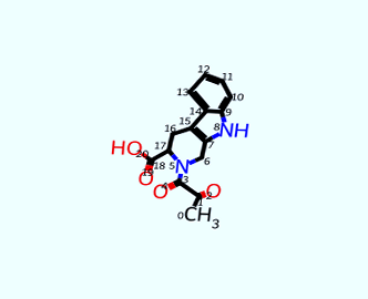 CC(=O)C(=O)N1Cc2[nH]c3ccccc3c2CC1C(=O)O